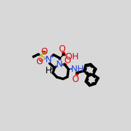 CCS(=O)(=O)N1C[C@@H]2CCCC[C@H](NC(=O)c3cccc4ccccc34)C(=O)N2[C@H](C(=O)O)C1